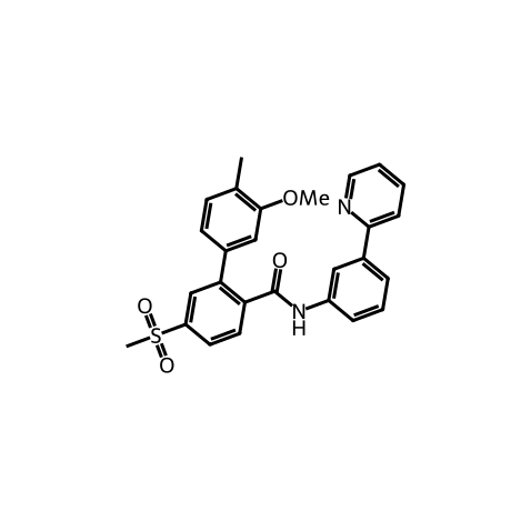 COc1cc(-c2cc(S(C)(=O)=O)ccc2C(=O)Nc2cccc(-c3ccccn3)c2)ccc1C